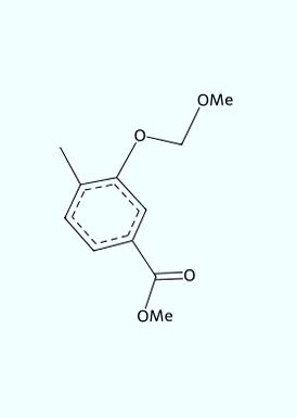 COCOc1cc(C(=O)OC)ccc1C